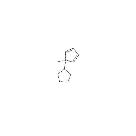 C[P]1(C2CCCC2)C=CC=C1